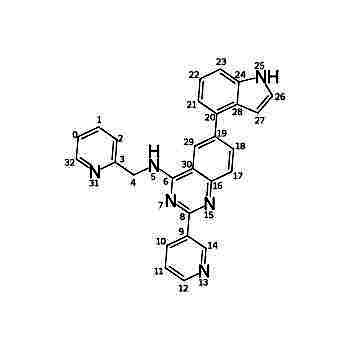 c1ccc(CNc2nc(-c3cccnc3)nc3ccc(-c4cccc5[nH]ccc45)cc23)nc1